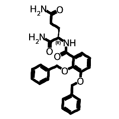 NC(=O)CC[C@@H](NC(=O)c1cccc(OCc2ccccc2)c1OCc1ccccc1)C(N)=O